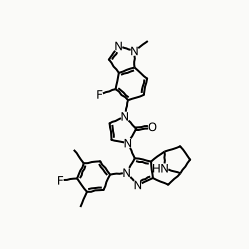 Cc1cc(-n2nc3c(c2-n2ccn(-c4ccc5c(cnn5C)c4F)c2=O)C2CCC(C3)N2)cc(C)c1F